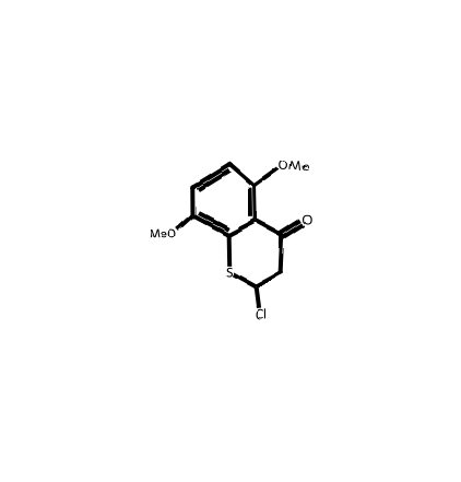 COc1ccc(OC)c2c1SC(Cl)CC2=O